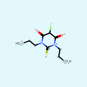 O=C(O)CCN1C(=O)C(F)C(=O)N(CCC(=O)O)C1=S